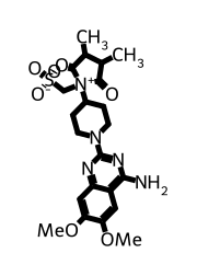 COc1cc2nc(N3CCC([N+]4(CS(=O)(=O)[O-])C(=O)C(C)C(C)C4=O)CC3)nc(N)c2cc1OC